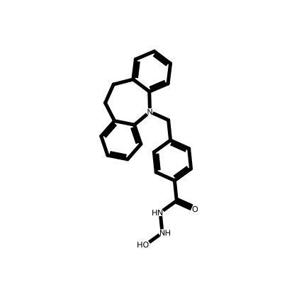 O=C(NNO)c1ccc(CN2c3ccccc3CCc3ccccc32)cc1